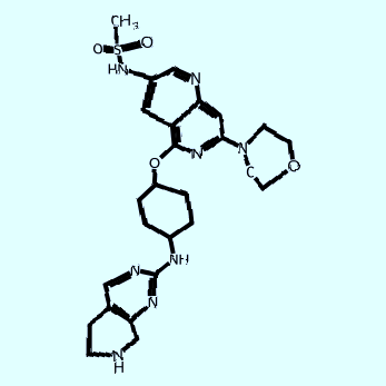 CS(=O)(=O)Nc1cnc2cc(N3CCOCC3)nc(OC3CCC(Nc4ncc5c(n4)CNCC5)CC3)c2c1